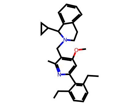 CCc1cccc(CC)c1-c1cc(OC)c(CN2CCc3ccccc3C2C2CC2)c(C)n1